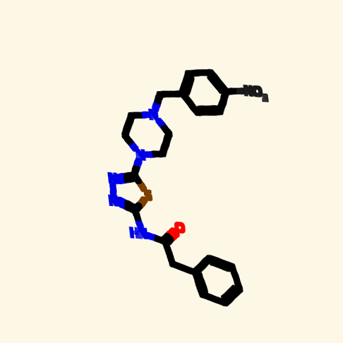 O=C(Cc1ccccc1)Nc1nnc(N2CCN(Cc3ccc([N+](=O)[O-])cc3)CC2)s1